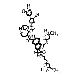 CC(C)CC(=O)SCCOP(=O)(OCCSC(=O)CC(C)C)C(F)(F)c1ccc2ccc(C(=O)N[C@H]3CCCC[C@H]4CC[C@@H](C(=O)N5C[C@H](c6cc[nH]c(=O)c6)[C@@H](C#N)C5)N4C3=O)cc2c1